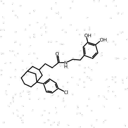 O=C(CCC1CC2CCCC(c3ccc(Cl)cc3)(C2)C1)NCCc1ccc(O)c(O)c1